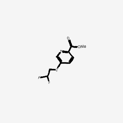 COC(=O)c1ccc(OCC(F)F)cn1